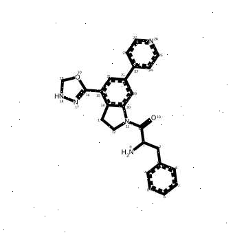 NC(Cc1ccccc1)C(=O)N1CCc2c(C3=NNCO3)cc(-c3ccncc3)cc21